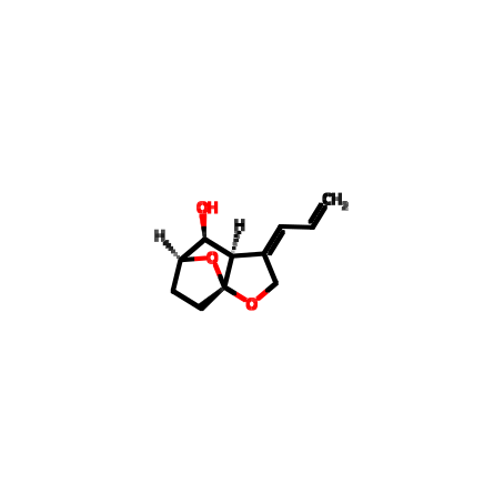 C=C/C=C1\CO[C@]23CC[C@H](O2)[C@@H](O)[C@@H]13